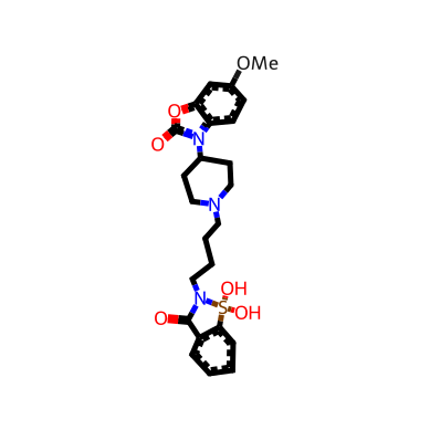 COc1ccc2c(c1)oc(=O)n2C1CCN(CCCCN2C(=O)c3ccccc3S2(O)O)CC1